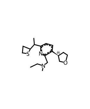 CCN(C)Cc1nc(C(C)C2CCS2)ccc1[C@H]1CCOC1